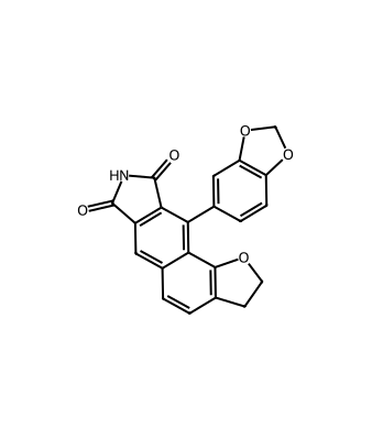 O=C1NC(=O)c2c1cc1ccc3c(c1c2-c1ccc2c(c1)OCO2)OCC3